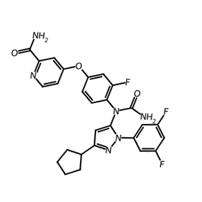 NC(=O)c1cc(Oc2ccc(N(C(N)=O)c3cc(C4CCCC4)nn3-c3cc(F)cc(F)c3)c(F)c2)ccn1